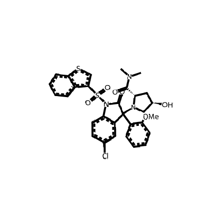 COc1ccccc1C1(N2C[C@H](O)C[C@H]2C(=O)N(C)C)C(=O)N(S(=O)(=O)c2csc3ccccc23)c2ccc(Cl)cc21